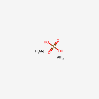 O=S(=O)(O)O.[AlH3].[MgH2]